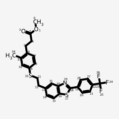 COC(=O)CCc1ccc(SCCc2ccc3sc(-c4ccc(C(F)(F)F)cc4)nc3c2)cc1C